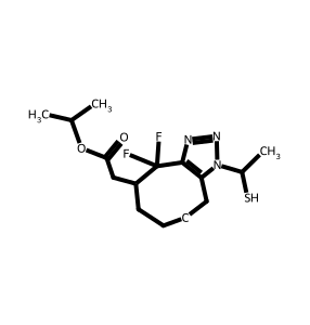 CC(C)OC(=O)CC1CCCCc2c(nnn2C(C)S)C1(F)F